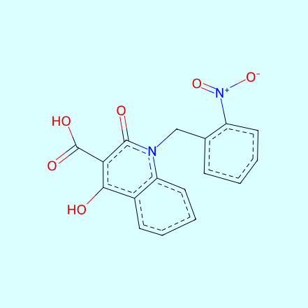 O=C(O)c1c(O)c2ccccc2n(Cc2ccccc2[N+](=O)[O-])c1=O